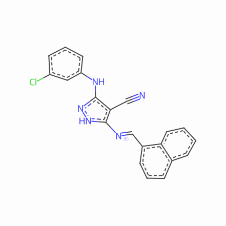 N#Cc1c(Nc2cccc(Cl)c2)n[nH]c1/N=C/c1cccc2ccccc12